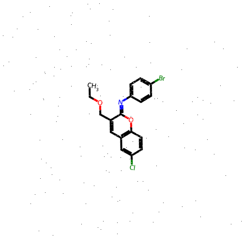 CCOCc1cc2cc(Cl)ccc2oc1=Nc1ccc(Br)cc1